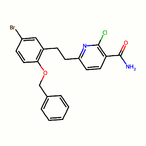 NC(=O)c1ccc(CCc2cc(Br)ccc2OCc2ccccc2)nc1Cl